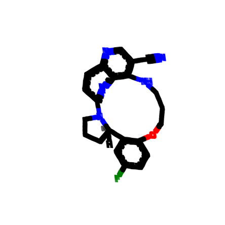 N#Cc1cnc2ccc3nc2c1NCCCOc1ccc(F)cc1[C@@H]1CCCN31